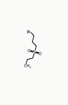 CCCS(=O)(=O)CCCBr